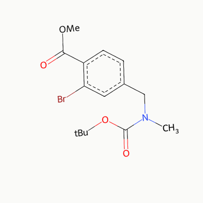 COC(=O)c1ccc(CN(C)C(=O)OC(C)(C)C)cc1Br